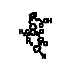 CC1(C)CN(C(=O)[C@H]2CC(=O)N(c3cccc(C#N)c3)C2)c2ccc(Cn3ccnc3/C=C/C(=O)O)cc21